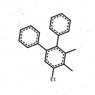 CCc1cc(-c2ccccc2)c(-c2ccccc2)c(C)c1C